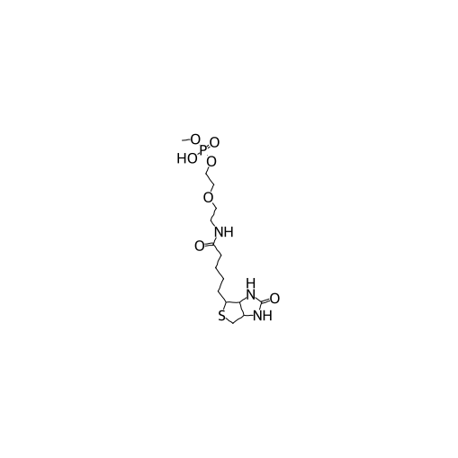 COP(=O)(O)OCCOCCNC(=O)CCCCC1SCC2NC(=O)NC21